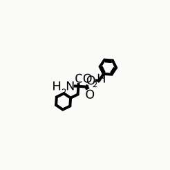 NC(CC1CCCCC1)(C(=O)O)C(=O)OCc1ccccc1